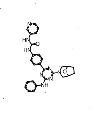 O=C(Nc1ccc(-c2nc(Nc3ccccc3)nc(N3CC4CCC(C3)O4)n2)cc1)Nc1cccnc1